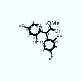 COC(=O)C(c1ncc(F)cc1F)c1ncc(F)cc1F